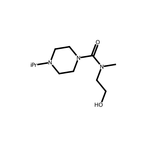 CC(C)N1CCN(C(=O)N(C)CCO)CC1